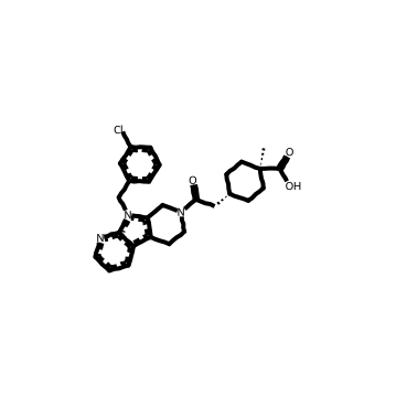 C[C@]1(C(=O)O)CC[C@H](CC(=O)N2CCc3c(n(Cc4cccc(Cl)c4)c4ncccc34)C2)CC1